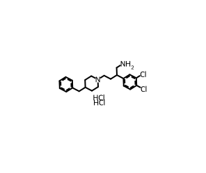 Cl.Cl.NCC(CCN1CCC(Cc2ccccc2)CC1)c1ccc(Cl)c(Cl)c1